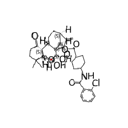 C=C1C(=O)[C@]23[C@H](OC(=O)C4CCC(NC(=O)c5ccccc5Cl)CC4)[C@H]1CC[C@H]2[C@@]12CO[C@]3(O)[C@@H](O)[C@@H]1C(C)(C)CCC2=O